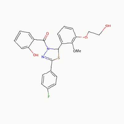 COc1c(OCCO)cccc1C1SC(c2ccc(F)cc2)=NN1C(=O)c1ccccc1O